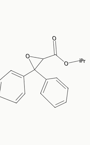 CC(C)OC(=O)C1OC1(c1ccccc1)c1ccccc1